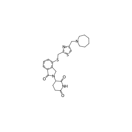 O=C1CCC(N2Cc3c(SCc4nc(CN5CCCCCC5)cs4)cccc3C2=O)C(=O)N1